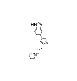 [CH](Cc1cc(-c2ccc3[nH]ccc3c2)cs1)CN1CCCC1